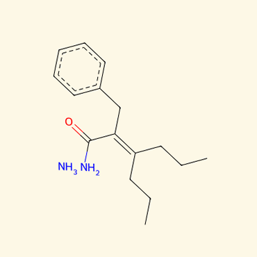 CCCC(CCC)=C(Cc1ccccc1)C(N)=O.N